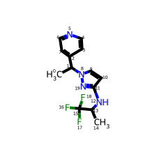 CC(c1ccncc1)n1ccc(NC(C)C(F)(F)F)n1